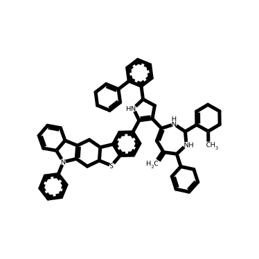 C=C1C=C(C2=C(c3ccc4c(c3)C3CC5=C(CC3S4)N(c3ccccc3)C3C=CC=CC53)NC(c3ccccc3C3=CCCC=C3)C2)NC(C2=CCCCC2C)NC1C1C=CC=CC1